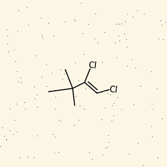 CC(C)(C)C(Cl)=CCl